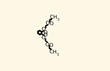 CC=CC(=O)OCCCOC(=O)c1ccccc1C(=O)OCCCOC(=O)C=CC